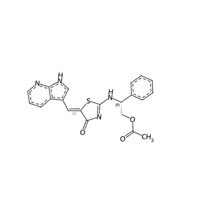 CC(=O)OC[C@H](NC1=NC(=O)/C(=C/c2c[nH]c3ncccc23)S1)c1ccccc1